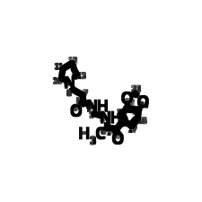 CC(NCNC(=O)CCN1CCCC1)C(=O)c1ccc2c(c1)OCO2